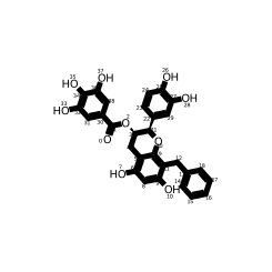 O=C(O[C@H]1Cc2c(O)cc(O)c(Cc3ccccc3)c2O[C@@H]1c1ccc(O)c(O)c1)c1cc(O)c(O)c(O)c1